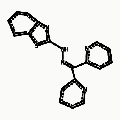 c1ccc(C(=NNc2nc3ccccc3s2)c2ccccn2)nc1